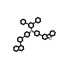 c1ccc(-c2cc(-c3ccccc3)cc(N(c3ccc(-c4cccc(-c5cccc6ccccc56)c4)cc3)c3ccc(-c4ccc5oc6ccccc6c5c4)cc3)c2)cc1